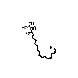 CC/C=C\C/C=C\C/C=C\CCCCCCCC(=O)NC(C)O